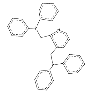 c1ccc(P(Cc2cccnc2CP(c2ccccc2)c2ccccc2)c2ccccc2)cc1